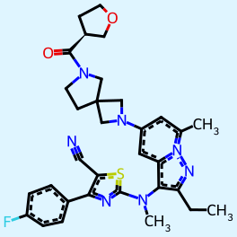 CCc1nn2c(C)cc(N3CC4(CCN(C(=O)[C@H]5CCOC5)C4)C3)cc2c1N(C)c1nc(-c2ccc(F)cc2)c(C#N)s1